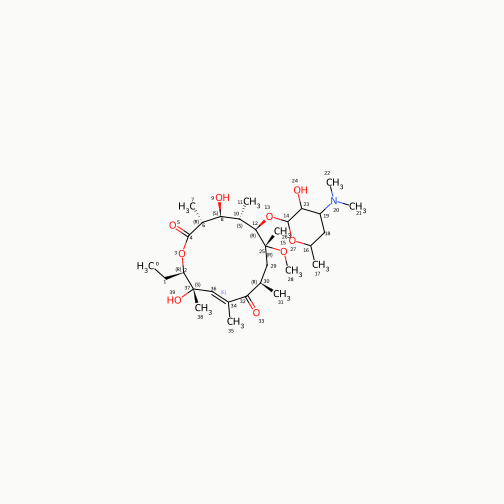 CC[C@H]1OC(=O)[C@H](C)[C@@H](O)[C@H](C)[C@@H](OC2OC(C)CC(N(C)C)C2O)[C@](C)(OC)C[C@@H](C)C(=O)/C(C)=C/[C@]1(C)O